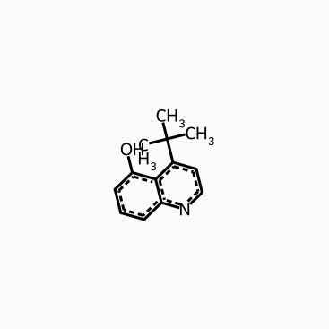 CC(C)(C)c1ccnc2cccc(O)c12